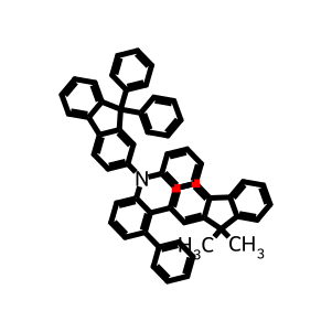 CC1(C)c2ccccc2-c2ccc(-c3c(-c4ccccc4)cccc3N(c3ccccc3)c3ccc4c(c3)C(c3ccccc3)(c3ccccc3)c3ccccc3-4)cc21